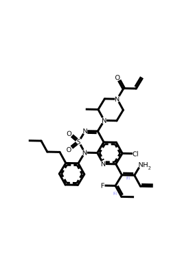 C=CC(=O)N1CCN(C2=NS(=O)(=O)N(c3ccccc3CCCC)c3nc(C(/C(F)=C\C)=C(\N)C=C)c(Cl)cc32)C(C)C1